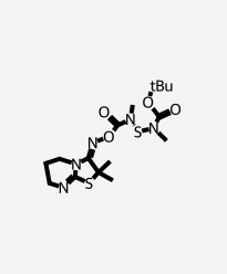 CN(SN(C)C(=O)OC(C)(C)C)C(=O)ON=C1N2CCCN=C2SC1(C)C